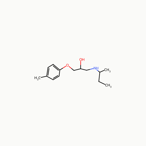 CCC(C)NCC(O)COc1ccc(C)cc1